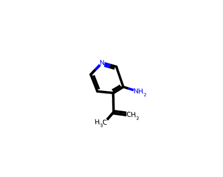 C=C(C)c1ccncc1N